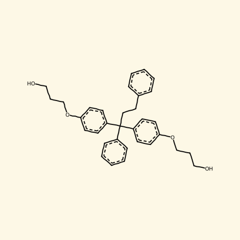 OCCCOc1ccc(C(CCc2ccccc2)(c2ccccc2)c2ccc(OCCCO)cc2)cc1